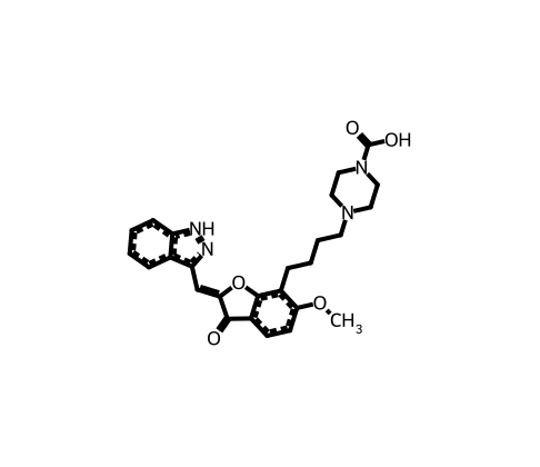 COc1ccc2c(c1CCCCN1CCN(C(=O)O)CC1)OC(=Cc1n[nH]c3ccccc13)C2=O